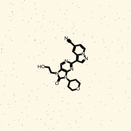 N#Cc1ccn2ncc(-c3ncc4c(n3)n(C3CCOCC3)c(=O)n4CCO)c2c1